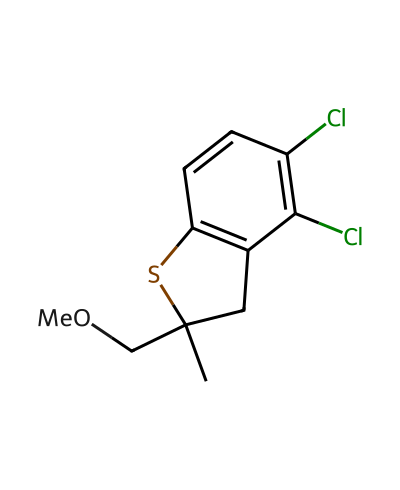 [CH2]OCC1(C)Cc2c(ccc(Cl)c2Cl)S1